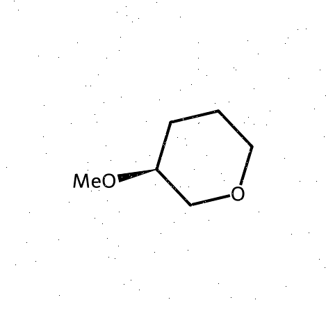 [CH2]O[C@H]1CCCOC1